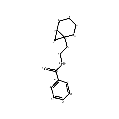 O=C(NCCC12CCCCC1C2)c1ccccc1